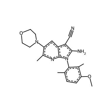 COc1ccc(C)c(-n2c(N)c(C#N)c3cc(N4CCOCC4)c(C)nc32)c1C